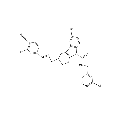 N#Cc1ccc(C=CCN2CCc3c(c4cc(Br)ccc4n3C(=O)NCc3ccnc(Cl)c3)C2)cc1F